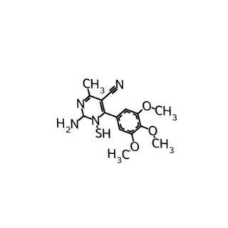 COc1cc(C2=C(C#N)C(C)=NC(N)N2S)cc(OC)c1OC